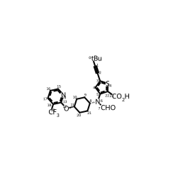 CC(C)(C)C#Cc1cc(N(C=O)[C@H]2CC[C@H](Oc3ncccc3C(F)(F)F)CC2)c(C(=O)O)s1